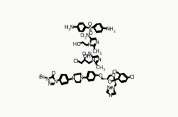 CCC(C)n1ncn(-c2ccc(N3CCN(c4ccc(OC[C@H]5CO[C@](Cn6cncn6)(c6ccc(Cl)cc6Cl)O5)cc4)CC3)cc2)c1=O.Cc1ncc([N+](=O)[O-])n1CC(O)CCl.Cc1ncc([N+](=O)[O-])n1CCO.Nc1ccc(S(=O)(=O)c2ccc(N)cc2)cc1